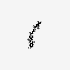 C=CC(=O)c1cc(C(=O)NCCCCC(=O)N2CCC(O)(Cn3cnc4cc(Cl)ccc4c3=O)CC2)n(C)c1